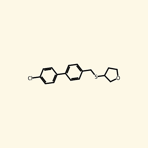 Clc1ccc(-c2ccc(CSC3CCOC3)cc2)cc1